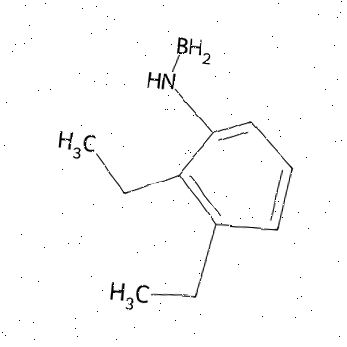 BNc1cccc(CC)c1CC